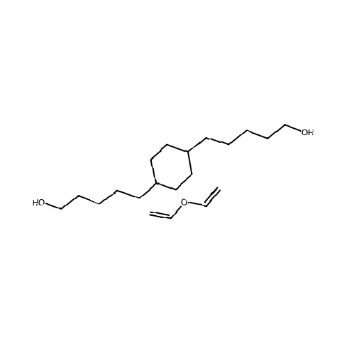 C=COC=C.OCCCCCC1CCC(CCCCCO)CC1